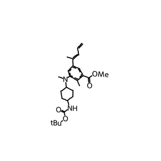 C=C/C=C(\C)c1cc(C(=O)OC)c(C)c(N(C)C2CCC(NC(=O)OC(C)(C)C)CC2)c1